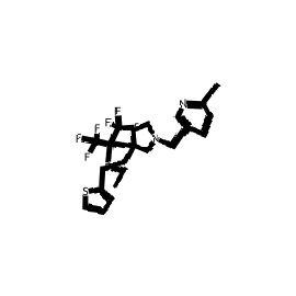 CCOC(C(F)(F)F)(C(F)(F)F)C1(CCc2cccs2)CCN(Cc2ccc(C)nc2)C1